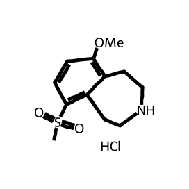 COc1ccc(S(C)(=O)=O)c2c1CCNCC2.Cl